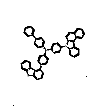 c1ccc(-c2ccc(N(c3ccc(-c4cccc5sc6ccccc6c45)cc3)c3ccc(-n4c5ccccc5c5c6ccccc6ccc54)cc3)cc2)cc1